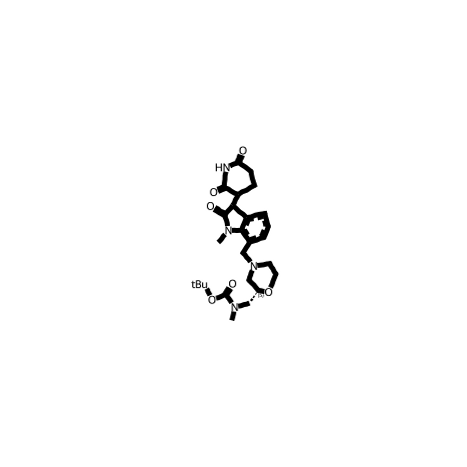 CN(C[C@@H]1CN(Cc2cccc3c2N(C)C(=O)C3C2CCC(=O)NC2=O)CCO1)C(=O)OC(C)(C)C